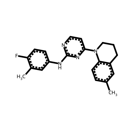 Cc1ccc2c(c1)CCCN2c1ccnc(Nc2ccc(F)c(C)c2)n1